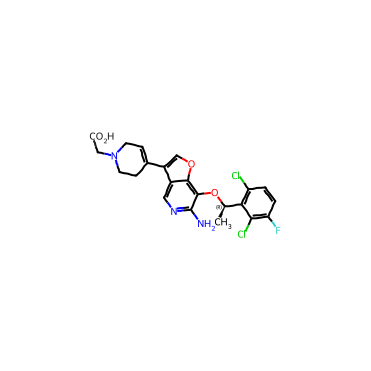 C[C@@H](Oc1c(N)ncc2c(C3=CCN(CC(=O)O)CC3)coc12)c1c(Cl)ccc(F)c1Cl